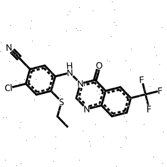 CCSc1cc(Cl)c(C#N)cc1Nn1cnc2ccc(C(F)(F)F)cc2c1=O